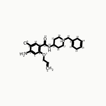 C=CCOc1cc(N)c(Cl)cc1C(=O)NC1CCN(CC2=CCC=CC2)CC1